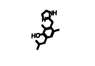 Cc1cc(CC(C)C)c(O)c(C)c1CC1=NCCN1